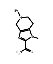 CC(C)N1CCc2c(nc(C(N)=O)n2C)C1